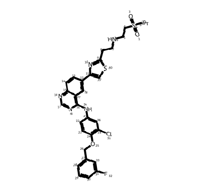 CC(C)S(=O)(=O)CCNCCc1nc(-c2ccc3ncnc(Nc4ccc(OCc5cccc(F)c5)c(Cl)c4)c3c2)cs1